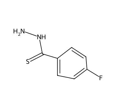 NNC(=S)c1ccc(F)cc1